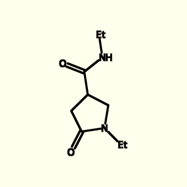 CCNC(=O)C1CC(=O)N(CC)C1